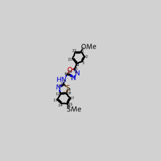 COc1ccc(-c2nnc(Nc3nc4ccc(SC)cc4s3)o2)cc1